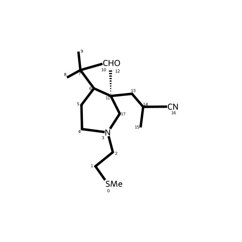 CSCCN1CCC(C(C)(C)C=O)[C@@](C)(CC(C)C#N)C1